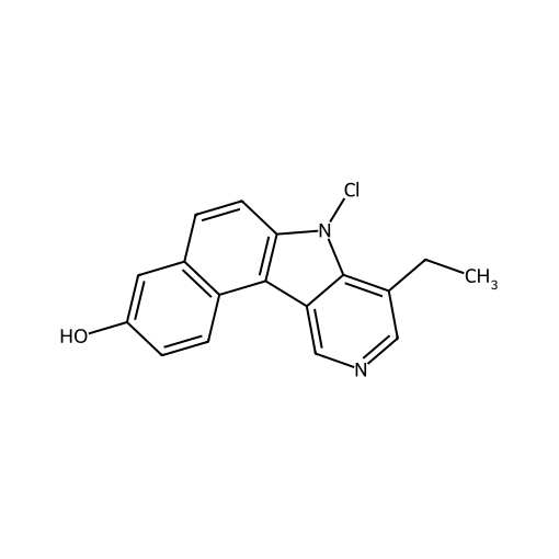 CCc1cncc2c3c4ccc(O)cc4ccc3n(Cl)c12